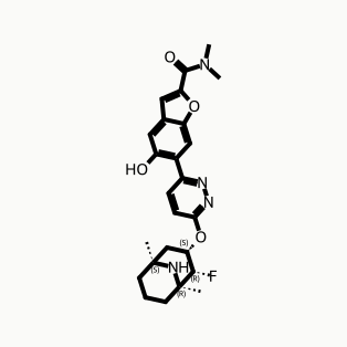 CN(C)C(=O)c1cc2cc(O)c(-c3ccc(O[C@H]4C[C@]5(C)CCC[C@@](C)(N5)[C@H]4F)nn3)cc2o1